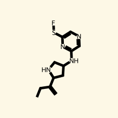 C=C(CC)C1CC(Nc2cncc(SF)n2)CN1